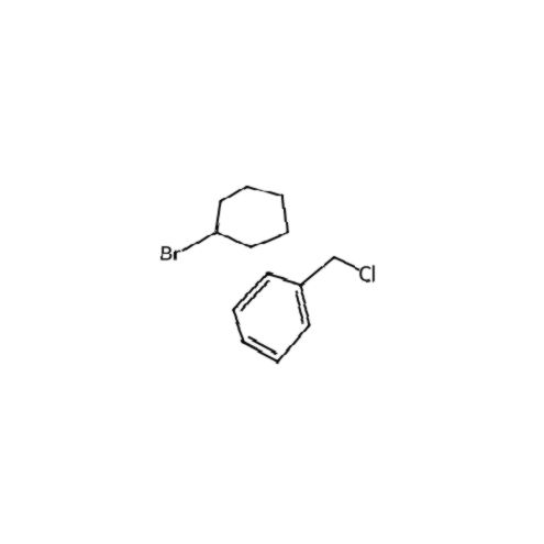 BrC1CCCCC1.ClCc1ccccc1